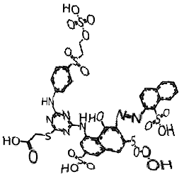 O=C(O)CSc1nc(Nc2ccc(S(=O)(=O)CCOS(=O)(=O)O)cc2)nc(Nc2cc(S(=O)(=O)O)cc3cc(SOOO)c(N=Nc4ccc5ccccc5c4S(=O)(=O)O)c(O)c23)n1